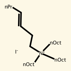 CCCC=CCC[N+](CCCCCCCC)(CCCCCCCC)CCCCCCCC.[I-]